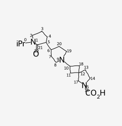 CC(C)N1CCCC(C2CCN(C3CC4(CCN(C(=O)O)C4)C3)CC2)C1=O